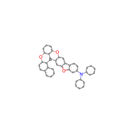 c1ccc(N(c2ccccc2)c2ccc3c(c2)oc2cc4c(cc23)Oc2cccc3c2B4c2c(ccc4ccccc24)O3)cc1